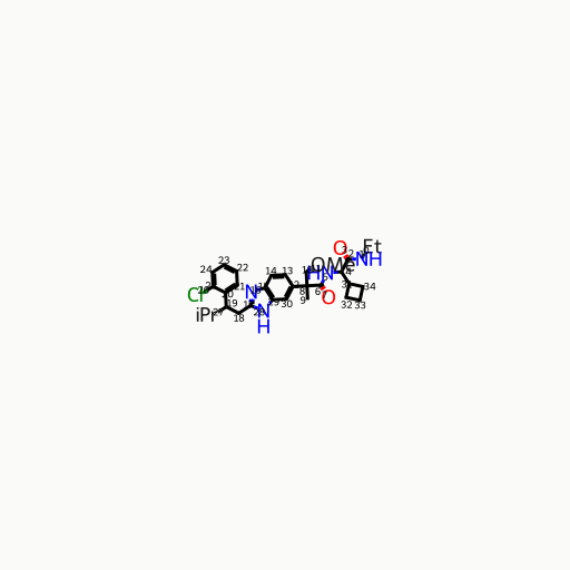 CCNC(=O)C(NC(=O)C(C)(COC)c1ccc2nc(CC(c3ccccc3Cl)C(C)C)[nH]c2c1)C1CCC1